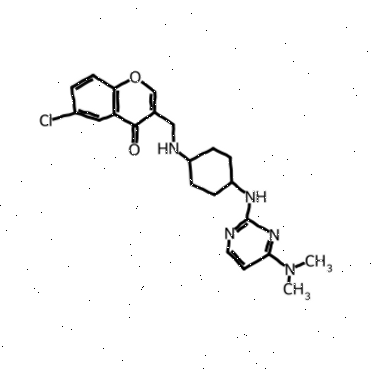 CN(C)c1ccnc(NC2CCC(NCc3coc4ccc(Cl)cc4c3=O)CC2)n1